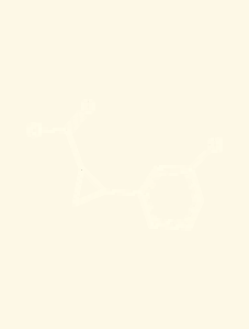 O=C(Cl)C1CC1c1cccc(Cl)c1